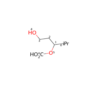 CC(C)C(CCO)OC(=O)O